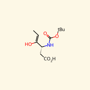 CC=C(O)[C@@H](CC(=O)O)NC(=O)OC(C)(C)C